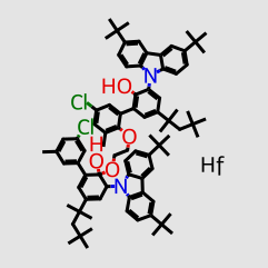 Cc1cc(Cl)cc(C2=CC(C(C)(C)CC(C)(C)C)=CC(n3c4ccc(C(C)(C)C)cc4c4cc(C(C)(C)C)ccc43)C2(O)OCCOc2c(C)cc(Cl)cc2-c2cc(C(C)(C)CC(C)(C)C)cc(-n3c4ccc(C(C)(C)C)cc4c4cc(C(C)(C)C)ccc43)c2O)c1.[Hf]